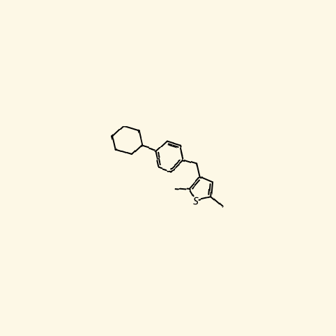 Cc1cc(Cc2ccc(C3CCCCC3)cc2)c(C)s1